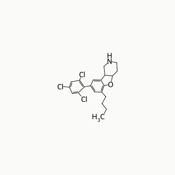 CCCCc1cc(-c2c(Cl)cc(Cl)cc2Cl)cc2c1OC1CCNCC21